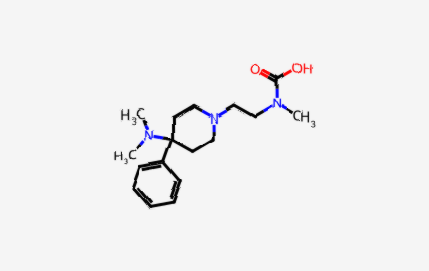 CN(CCN1CCC(c2ccccc2)(N(C)C)CC1)C(=O)O